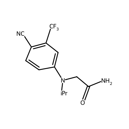 CC(C)N(CC(N)=O)c1ccc(C#N)c(C(F)(F)F)c1